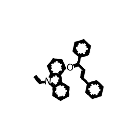 C=Cn1c2ccccc2c2ccccc21.O=C(C=Cc1ccccc1)c1ccccc1